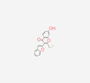 O=c1c(-c2cc3ccccc3o2)c(CF)oc2cc(O)ccc12